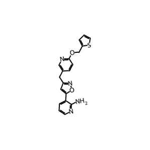 Nc1ncccc1-c1cc(Cc2ccc(OCc3cccs3)nc2)no1